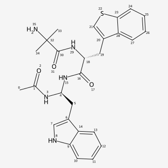 CC(=O)N[C@H](Cc1c[nH]c2ccccc12)NC(=O)[C@@H](Cc1csc2ccccc12)NC(=O)C(C)(C)N